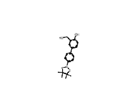 CC1(C)OB(c2ccc(-c3ccc(O)c(CO)c3)cc2)OC1(C)C